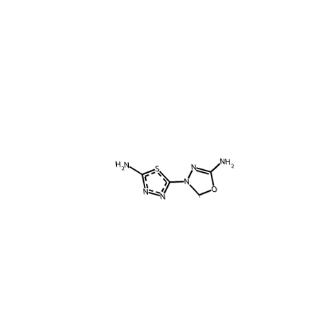 NC1=NN(c2nnc(N)s2)[CH]O1